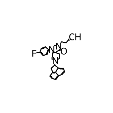 C#CCCN1CN(c2ccc(F)cc2)C2(CCN(C3Cc4cccc5cccc3c45)CC2)C1=O